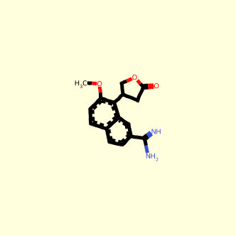 COc1ccc2ccc(C(=N)N)cc2c1C1COC(=O)C1